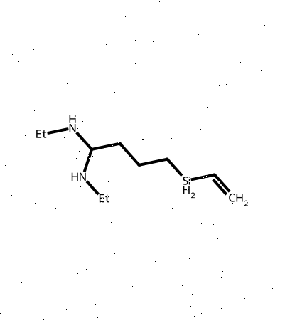 C=C[SiH2]CCCC(NCC)NCC